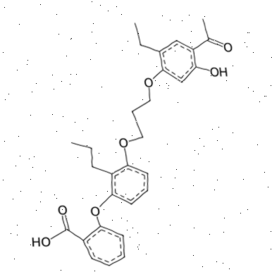 CCCc1c(OCCCOc2cc(O)c(C(C)=O)cc2CC)cccc1Oc1ccccc1C(=O)O